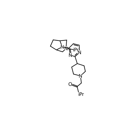 CC(C)C(=O)CN1CCC(c2nccc(N3C4CCC3CN(C(C)C)C4)n2)CC1